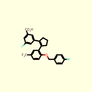 O=C(O)c1cc(F)cc(C2=C(c3cc(C(F)(F)F)ccc3OCc3ccc(F)cc3)CCC2)c1